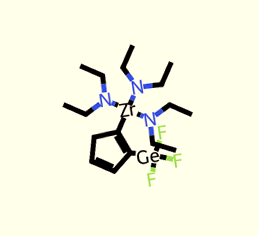 CC[N](CC)[Zr]([C]1=[C]([Ge]([F])([F])[F])C=CC1)([N](CC)CC)[N](CC)CC